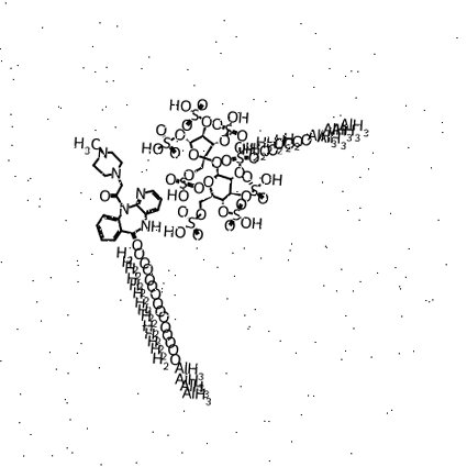 CN1CCN(CC(=O)N2c3ccccc3C(=O)Nc3cccnc32)CC1.O.O.O.O.O.O.O.O.O.O.O.O.O.O.O.O.O.O.O.O.O=S(=O)(O)OC[C@H]1O[C@@H](O[C@]2(COS(=O)(=O)O)O[C@H](OS(=O)(=O)O)[C@@H](OS(=O)(=O)O)[C@@H]2OS(=O)(=O)O)[C@H](OS(=O)(=O)O)[C@@H](OS(=O)(=O)O)[C@@H]1OS(=O)(=O)O.[AlH3].[AlH3].[AlH3].[AlH3].[AlH3].[AlH3].[AlH3].[AlH3].[AlH3]